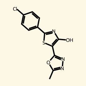 Cc1nnc(-c2sc(-c3ccc(Cl)cc3)nc2O)o1